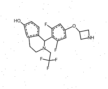 Oc1ccc2c(c1)CCN(CC(F)(F)F)C2c1c(F)cc(OC2CNC2)cc1F